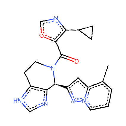 Cc1cccn2nc([C@H]3c4nc[nH]c4CCN3C(=O)c3ocnc3C3CC3)cc12